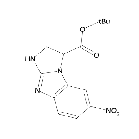 CC(C)(C)OC(=O)C1CNc2nc3ccc([N+](=O)[O-])cc3n21